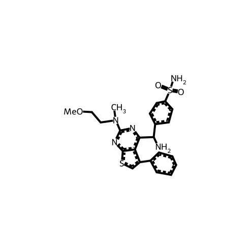 COCCN(C)c1nc(C(N)c2ccc(S(N)(=O)=O)cc2)c2c(-c3ccccc3)csc2n1